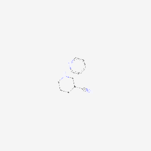 N#CC1CCCNC1.c1ccncc1